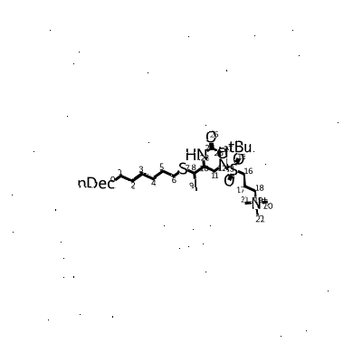 CCCCCCCCCCCCCCCCSC(I)C(CNS(=O)(=O)CCC[N+](C)(C)C)NC(=O)OC(C)(C)C